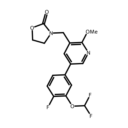 COc1ncc(-c2ccc(F)c(OC(F)F)c2)cc1CN1CCOC1=O